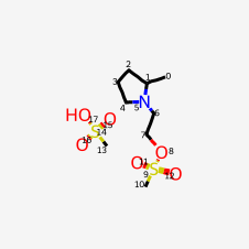 CC1CCCN1CCOS(C)(=O)=O.CS(=O)(=O)O